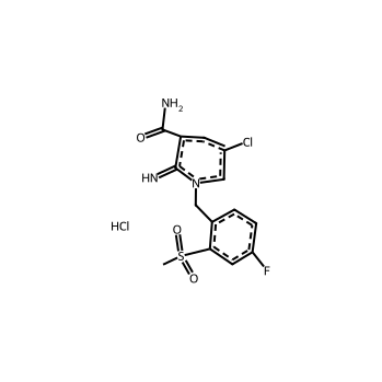 CS(=O)(=O)c1cc(F)ccc1Cn1cc(Cl)cc(C(N)=O)c1=N.Cl